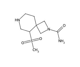 CS(=O)(=O)C1CNCCC12CN(C(N)=O)C2